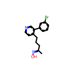 CC(CCCc1ccncc1-c1cccc(Br)c1)=NO